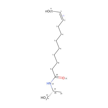 CCCCCCCC/C=C\CCCCCCCC(=O)N[C@H](C)C(=O)O